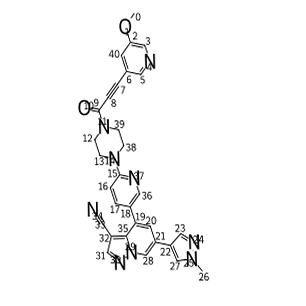 COc1cncc(C#CC(=O)N2CCN(c3ccc(-c4cc(-c5cnn(C)c5)cn5ncc(C#N)c45)cn3)CC2)c1